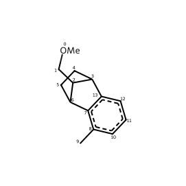 COCC1C2CCC1c1c(C)cccc12